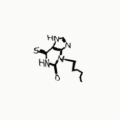 CCCCn1c(=O)[nH]c(=S)c2[nH]cnc21